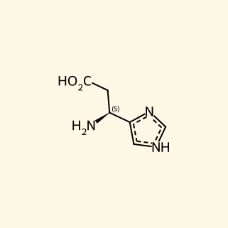 N[C@@H](CC(=O)O)c1c[nH]cn1